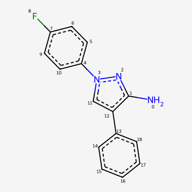 Nc1nn(-c2ccc(F)cc2)cc1-c1ccccc1